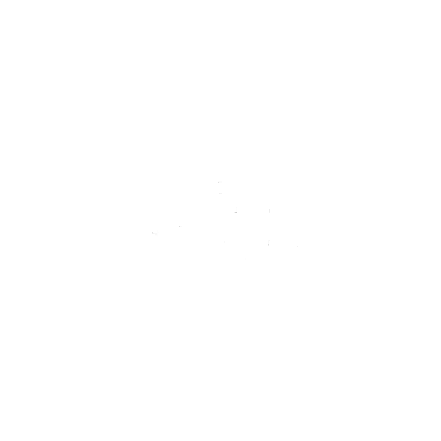 NC(=O)Cc1cc(Cl)sc1Cl